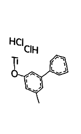 Cc1cc([O][Ti])cc(-c2ccccc2)c1.Cl.Cl